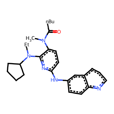 CCCCC(=O)N(C)c1ccc(Nc2ccc3ncccc3c2)nc1N(CC)C1CCCC1